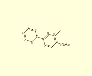 CNc1ccc(C2C=CC=CC2)cc1C